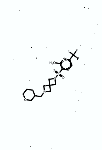 Cc1nc(C(F)(F)F)ccc1S(=O)(=O)N1CC2(CN(CC3CCCOC3)C2)C1